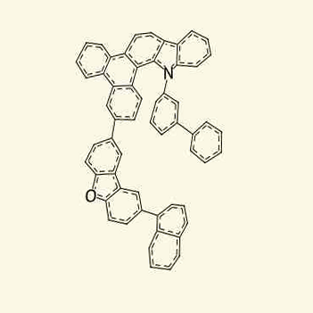 c1ccc(-c2cccc(-n3c4ccccc4c4ccc5c6ccccc6c6cc(-c7ccc8oc9ccc(-c%10cccc%11ccccc%10%11)cc9c8c7)ccc6c5c43)c2)cc1